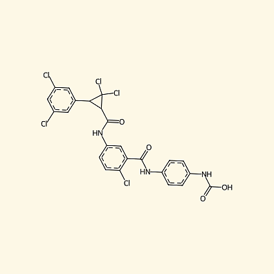 O=C(O)Nc1ccc(NC(=O)c2cc(NC(=O)C3C(c4cc(Cl)cc(Cl)c4)C3(Cl)Cl)ccc2Cl)cc1